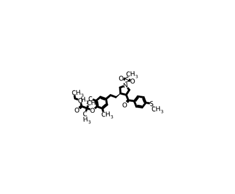 CCOC(=O)C(C)(C)Oc1c(C)cc(CC[C@H]2CN(S(C)(=O)=O)CC2C(=O)c2ccc(SC)cc2)cc1C